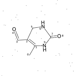 CC1=C(C=O)CNC(=O)N1